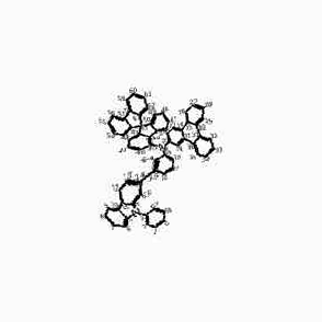 c1ccc(-n2c3ccccc3c3ccc(-c4cccc(N(c5ccc6c7ccccc7c7ccccc7c6c5)c5cccc6c5-c5ccccc5C65c6ccccc6-c6ccccc65)c4)cc32)cc1